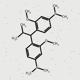 COc1cc(N(C)C)ccc1C(c1ccc(N(C)C)cc1OC)C(C)C